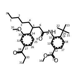 CCCCCC(CC(=O)Nc1cc(C(=O)OC)ccc1C(C)(C)C)c1ccc(C(=O)CC)cc1OC